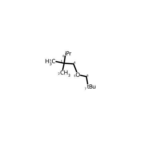 CC(C)C(C)(C)COCC(C)(C)C